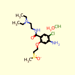 CCN(CC)CCNC(=O)c1cc(Cl)c(N)cc1OCC[S+](C)[O-].Cl.O